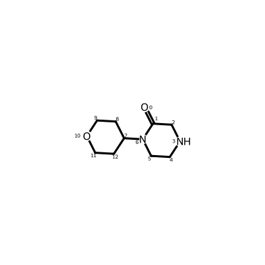 O=C1CNCCN1C1CCOCC1